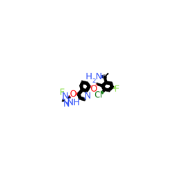 C[C@H](N)c1cc(F)cc(Cl)c1COc1cccc2c(OC3NN=CN3F)ccnc12